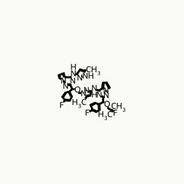 Cc1cc(Nc2nc(C(OCn3nc(Nc4nc(C(OCC(C)(C)F)c5ccc(F)cc5)nn5cccc45)cc3C)c3ccc(F)cc3)nn3cccc23)n[nH]1